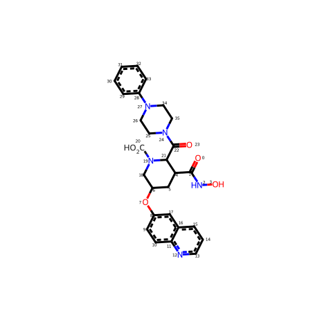 O=C(NO)C1CC(Oc2ccc3ncccc3c2)CN(C(=O)O)C1C(=O)N1CCN(c2ccccc2)CC1